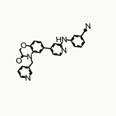 N#Cc1cccc(Nc2cc(-c3ccc4c(c3)N(Cc3cccnc3)C(=O)CO4)ccn2)c1